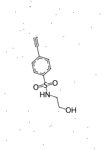 [C]#Cc1ccc(S(=O)(=O)NCCO)cc1